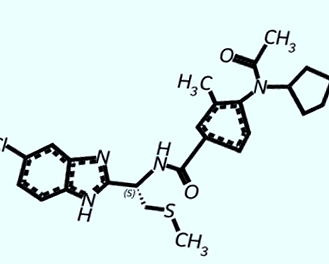 CSC[C@@H](NC(=O)c1ccc(N(C(C)=O)C2CCCC2)c(C)c1)c1nc2cc(Cl)ccc2[nH]1